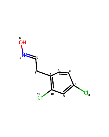 ON=CCc1ccc(Cl)cc1Cl